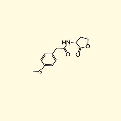 CSc1ccc(CC(=O)N[C@@H]2CCOC2=O)cc1